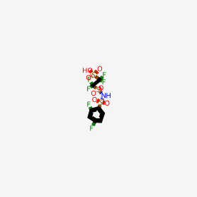 O=S(=O)(NS(=O)(=O)C(F)(F)C(F)(F)S(=O)(=O)O)c1ccc(F)cc1F